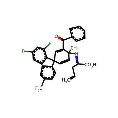 C=CCC(=NC1(C)C=CC(c2ccc(C(F)(F)F)cc2)(c2ccc(F)cc2F)C=C1C(=O)c1ccccc1)C(=O)O